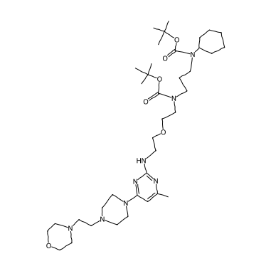 Cc1cc(N2CCN(CCN3CCOCC3)CC2)nc(NCCOCCN(CCCN(C(=O)OC(C)(C)C)C2CCCCC2)C(=O)OC(C)(C)C)n1